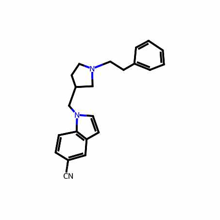 N#Cc1ccc2c(ccn2CC2CCN(CCc3ccccc3)C2)c1